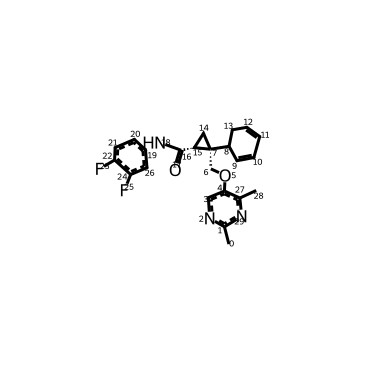 Cc1ncc(OC[C@@]2(C3C=CC=CC3)C[C@H]2C(=O)Nc2ccc(F)c(F)c2)c(C)n1